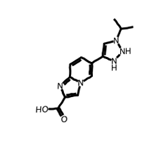 CC(C)N1C=C(c2ccc3nc(C(=O)O)cn3c2)NN1